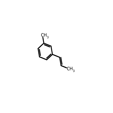 CC=Cc1cccc(C)c1